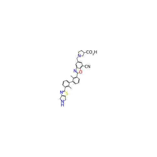 Cc1c(-c2nc3cc(CN4CCC(C(=O)O)C4)cc(C#N)c3o2)cccc1-c1cccc(-c2nc3c(s2)CNC3)c1C